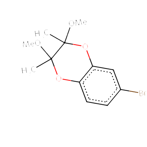 COC1(C)Oc2ccc(Br)cc2OC1(C)OC